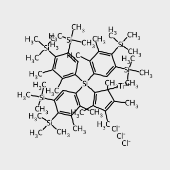 CC1=C(C)[C](C)([Ti+3])C([Si](c2cc([Si](C)(C)C)c([Si](C)(C)C)c(C)c2C)(c2cc([Si](C)(C)C)c([Si](C)(C)C)c(C)c2C)c2cc([Si](C)(C)C)c([Si](C)(C)C)c(C)c2C)=C1C.[Cl-].[Cl-].[Cl-]